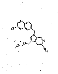 COCOCc1cn(Cc2ccc3ncc(Cl)cc3c2)c2cnc(C#N)cc12